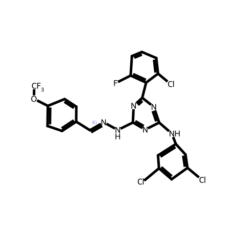 Fc1cccc(Cl)c1-c1nc(N/N=C/c2ccc(OC(F)(F)F)cc2)nc(Nc2cc(Cl)cc(Cl)c2)n1